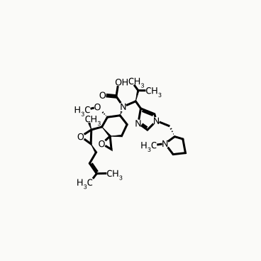 CO[C@@H]1[C@H](N(C(=O)O)[C@H](c2cn(C[C@@H]3CCCN3C)cn2)C(C)C)CC[C@]2(CO2)[C@H]1[C@@]1(C)O[C@@H]1CC=C(C)C